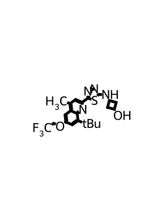 Cc1cc(-c2nnc(N[C@H]3C[C@@H](O)C3)s2)nc2c(C(C)(C)C)cc(OCC(F)(F)F)cc12